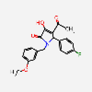 COc1cccc(CN2C(=O)C(O)=C(C(C)=O)C2c2ccc(F)cc2)c1